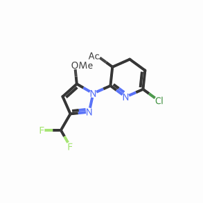 COc1cc(C(F)F)nn1C1=NC(Cl)=CCC1C(C)=O